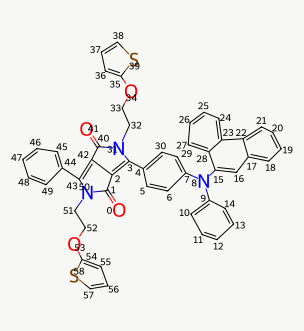 O=C1C2=C(c3ccc(N(c4ccccc4)c4cc5ccccc5c5ccccc45)cc3)N(CCOc3cccs3)C(=O)C2=C(c2ccccc2)N1CCOc1cccs1